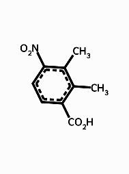 Cc1c(C(=O)O)ccc([N+](=O)[O-])c1C